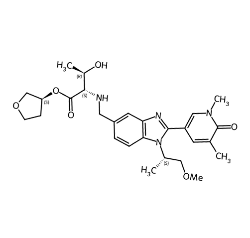 COC[C@H](C)n1c(-c2cc(C)c(=O)n(C)c2)nc2cc(CN[C@H](C(=O)O[C@H]3CCOC3)[C@@H](C)O)ccc21